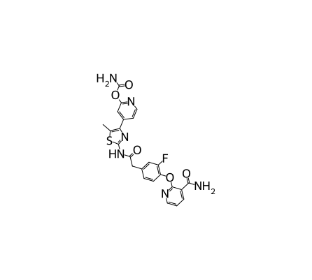 Cc1sc(NC(=O)Cc2ccc(Oc3ncccc3C(N)=O)c(F)c2)nc1-c1ccnc(OC(N)=O)c1